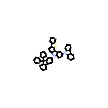 c1ccc(C2(c3ccccc3)c3ccccc3-c3ccc(-n4c5ccc(-n6c7ccccc7c7ccccc76)cc5c5c6sc7ccccc7c6ccc54)cc32)cc1